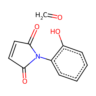 C=O.O=C1C=CC(=O)N1c1ccccc1O